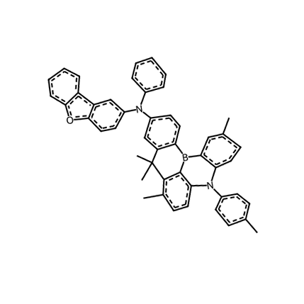 Cc1ccc(N2c3ccc(C)cc3B3c4ccc(N(c5ccccc5)c5ccc6oc7ccccc7c6c5)cc4C(C)(C)c4c(C)ccc2c43)cc1